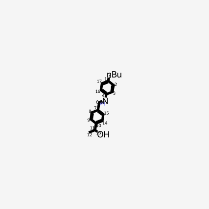 CCCCc1ccc(/N=C/c2ccc(C(C)O)cc2)cc1